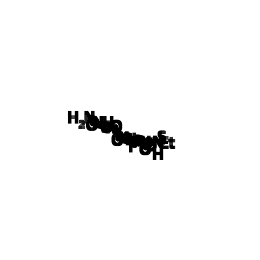 CCC(=S)NC[C@H]1CN(c2ccc(N3CCN(C(=O)CCC(=O)c4ccc(CNC(=O)CN)cc4)CC3)c(F)c2)C(=O)O1